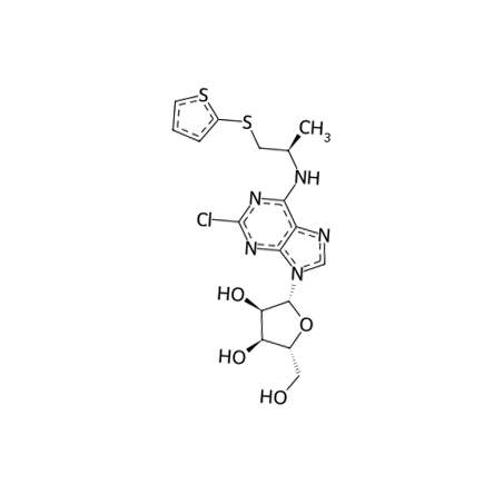 C[C@H](CSc1cccs1)Nc1nc(Cl)nc2c1ncn2[C@@H]1O[C@H](CO)[C@@H](O)[C@H]1O